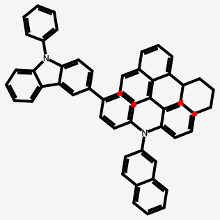 c1ccc(-n2c3ccccc3c3cc(-c4ccc(N(c5ccc6ccccc6c5)c5ccccc5-c5cccc6cccc(C7CCCCC7)c56)cc4)ccc32)cc1